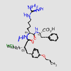 C=CCOc1ccc(C[C@H](NC(C)=O)C(=O)N[C@@H](CCCCNC(=N)N)C(=O)N[C@@H](Cc2ccccc2)C(=O)O)cc1.Cl